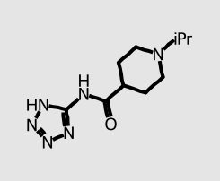 CC(C)N1CCC(C(=O)Nc2nnn[nH]2)CC1